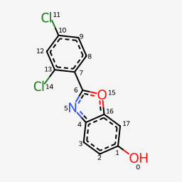 Oc1ccc2nc(-c3ccc(Cl)cc3Cl)oc2c1